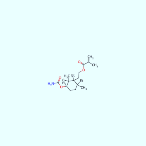 C=C(C)C(=O)OCCC1(CC)C(C)(CC)CCC(OC(N)=O)C1(C)C